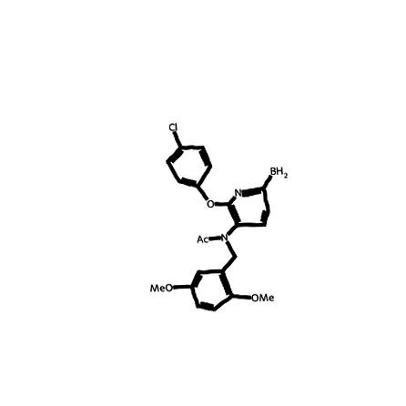 Bc1ccc(N(Cc2cc(OC)ccc2OC)C(C)=O)c(Oc2ccc(Cl)cc2)n1